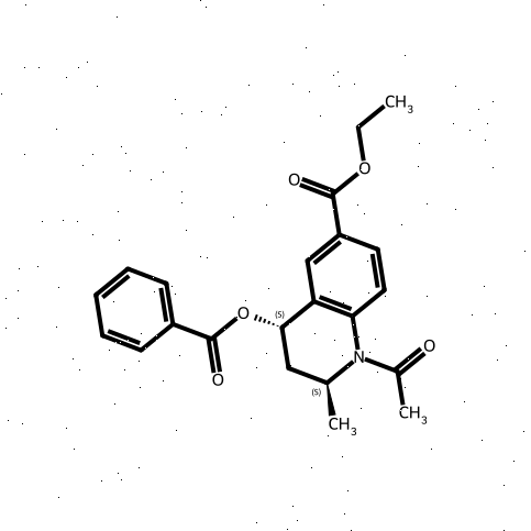 CCOC(=O)c1ccc2c(c1)[C@@H](OC(=O)c1ccccc1)C[C@H](C)N2C(C)=O